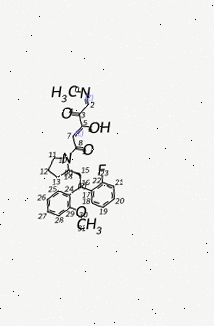 C/N=C\C(=O)/C(O)=C/C(=O)N1CCC[C@@H]1C[C@@H](c1ccccc1F)c1ccccc1OC